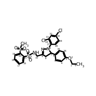 CCOc1ccc(C2CC(CNS(=O)(=O)c3ccccc3S(C)(=O)=O)=NN2c2ccc(Cl)cc2Cl)cc1